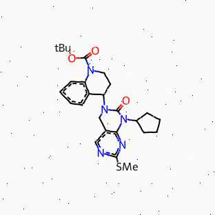 CSc1ncc2c(n1)N(C1CCCC1)C(=O)N(C1CCN(C(=O)OC(C)(C)C)c3ccccc31)C2